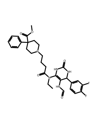 CCN(C(=O)CCCN1CCC(C(=O)OC)(c2ccccc2)CC1)C1=C(NC=O)C(c2ccc(F)c(F)c2)NC(=O)N1